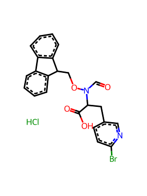 Cl.O=CN(OCC1c2ccccc2-c2ccccc21)C(Cc1ccc(Br)nc1)C(=O)O